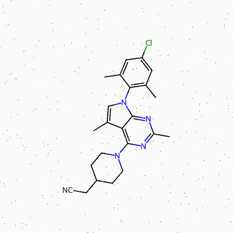 Cc1nc(N2CCC(CC#N)CC2)c2c(C)cn(-c3c(C)cc(Cl)cc3C)c2n1